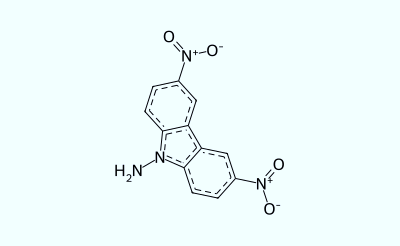 Nn1c2ccc([N+](=O)[O-])cc2c2cc([N+](=O)[O-])ccc21